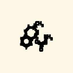 CN1CCc2ccccc2C=N1.NN=S(=O)=O